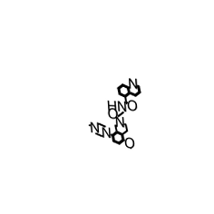 COc1ccc(N2CCN(C)CC2)c2c1CCN(C(=O)CNC(=O)c1cccc3ncccc13)C2